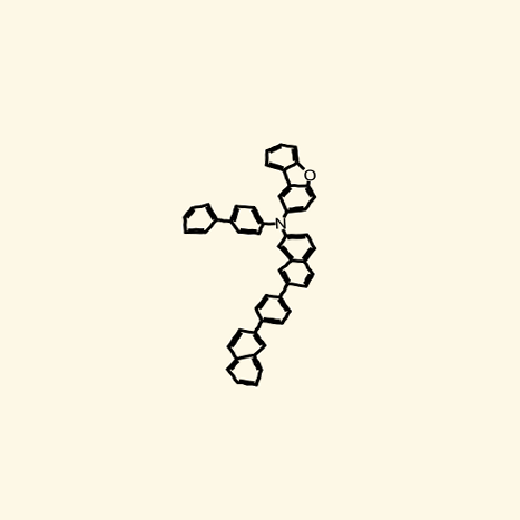 c1ccc(-c2ccc(N(c3ccc4ccc(-c5ccc(-c6ccc7ccccc7c6)cc5)cc4c3)c3ccc4oc5ccccc5c4c3)cc2)cc1